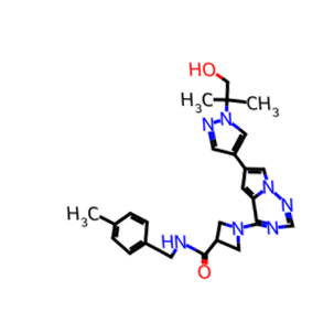 Cc1ccc(CNC(=O)C2CN(c3ncnn4cc(-c5cnn(C(C)(C)CO)c5)cc34)C2)cc1